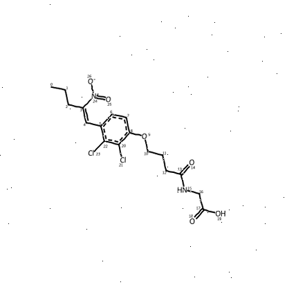 CCCC(=Cc1ccc(OCCCC(=O)NCC(=O)O)c(Cl)c1Cl)[N+](=O)[O-]